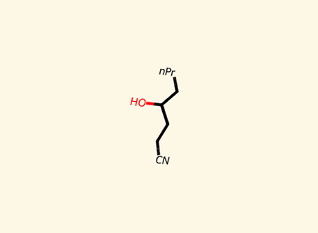 CCCCC(O)CCC#N